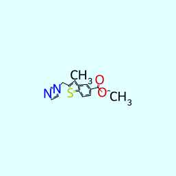 CCOC(=O)c1ccc2sc(Cn3ccnc3)c(C)c2c1